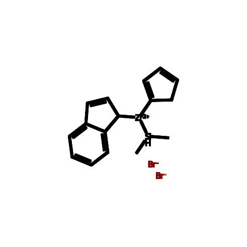 C[SiH](C)[Zr+2]([C]1=CC=CC1)[CH]1C=Cc2ccccc21.[Br-].[Br-]